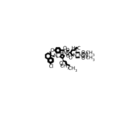 C=CCCC(C(=O)N1CCN(S(=O)(=O)N(C)C)CC1)S(=O)(=O)NC(=O)c1ccc2c(c1)N(C[C@@H]1CC[C@H]1C(/C=C/CC)OC)C[C@@]1(CCCc3cc(Cl)ccc31)CO2